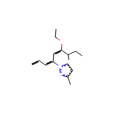 C=C/C=C(\C=C(\OCC)C(C)CC)n1ccc(C)n1